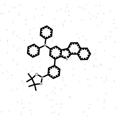 CC1(C)OB(c2cccc(-c3cc(N(c4ccccc4)c4ccccc4)cc4c3sc3c5ccccc5ccc43)c2)OC1(C)C